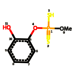 COP(=S)(S)Oc1ccccc1O